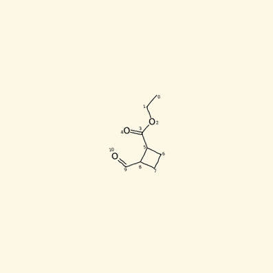 CCOC(=O)C1CCC1C=O